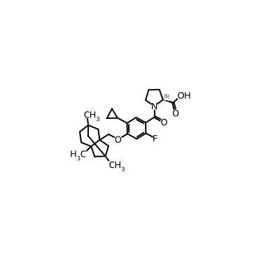 CC12CCC3(C)CC(C)(C1)CC3(COc1cc(F)c(C(=O)N3CCC[C@H]3C(=O)O)cc1C1CC1)C2